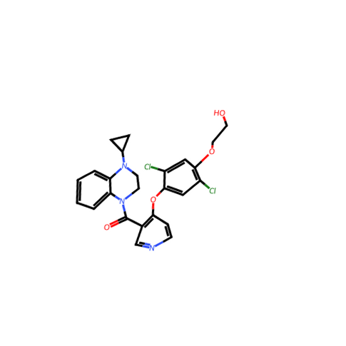 O=C(c1cnccc1Oc1cc(Cl)c(OCCO)cc1Cl)N1CCN(C2CC2)c2ccccc21